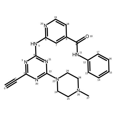 C#Cc1nc(Nc2cc(C(=O)Nc3ccccc3)ccn2)nc(N2CCN(C)CC2)n1